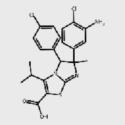 CC(C)C1=C(C(=O)O)SC2=NC(C)(c3ccc(Cl)c(N)c3)C(c3ccc(Cl)cc3)N21